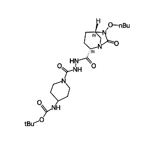 CCCCON1C(=O)N2C[C@@H]1CC[C@H]2C(=O)NNC(=O)N1CCC(NC(=O)OC(C)(C)C)CC1